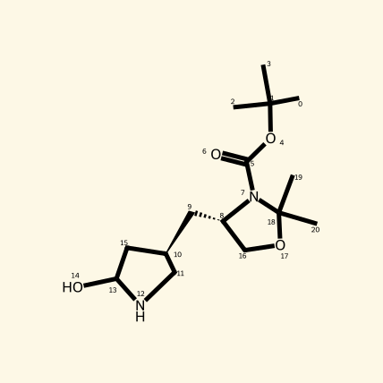 CC(C)(C)OC(=O)N1[C@@H](C[C@H]2CNC(O)C2)COC1(C)C